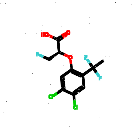 CC(F)(F)c1cc(Cl)c(Cl)cc1O[C@@H](CF)C(=O)O